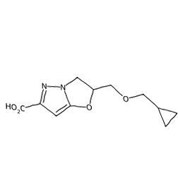 O=C(O)c1cc2n(n1)CC(COCC1CC1)O2